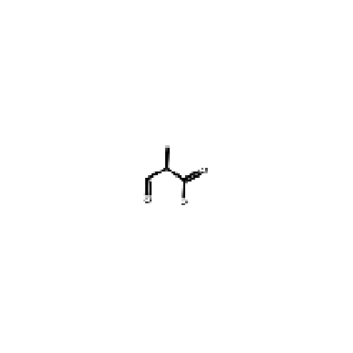 CC(C=O)C([O])=O